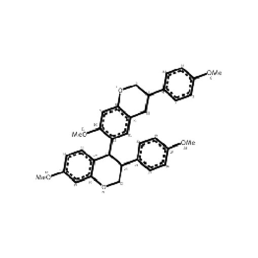 COc1ccc(C2COc3cc(OC)c(C4c5ccc(OC)cc5OCC4c4ccc(OC)cc4)cc3C2)cc1